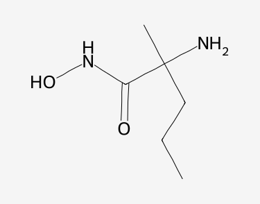 CCCC(C)(N)C(=O)NO